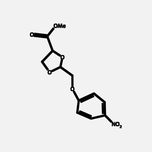 COC(=O)C1COC(COc2ccc([N+](=O)[O-])cc2)O1